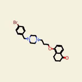 O=C1CCCc2c(OCCCN3CCN(Cc4ccc(Br)cc4)CC3)cccc21